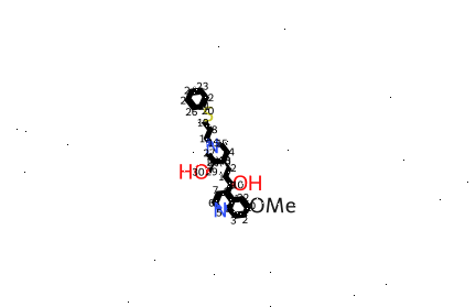 COc1ccc2nccc(C(O)CC[C@@H]3CCN(CCCSc4ccccc4)C[C@@H]3CO)c2c1